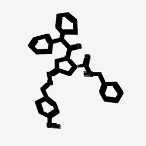 COc1ccc(CO/N=C2\C[C@@H](C(=O)NCc3ccccc3)N(C(=O)C(c3ccccc3)c3ccccc3)C2)cc1